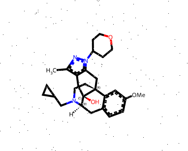 COc1ccc2c(c1)[C@]13CCN(CC4CC4)[C@H](C2)[C@]1(O)Cc1c(C)nn(C2CCOCC2)c1C3